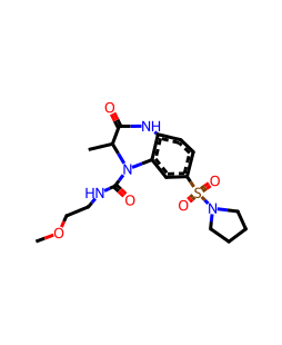 COCCNC(=O)N1c2cc(S(=O)(=O)N3CCCC3)ccc2NC(=O)C1C